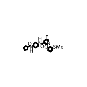 CSc1cccc(Oc2ncc(F)cc2C(=O)NC2CCC(NC(=O)C3CCCC3)CC2)c1